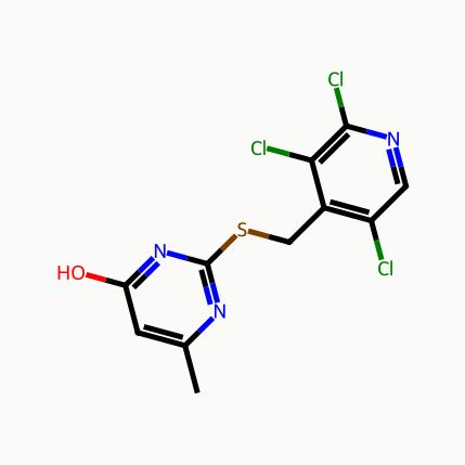 Cc1cc(O)nc(SCc2c(Cl)cnc(Cl)c2Cl)n1